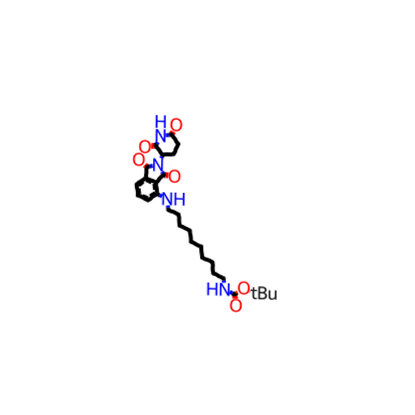 CC(C)(C)OC(=O)NCCCCCCCCCCNc1cccc2c1C(=O)N(C1CCC(=O)NC1=O)C2=O